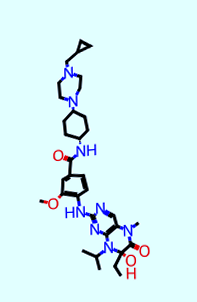 CCC1(O)C(=O)N(C)c2cnc(Nc3ccc(C(=O)N[C@H]4CC[C@H](N5CCN(CC6CC6)CC5)CC4)cc3OC)nc2N1C(C)C